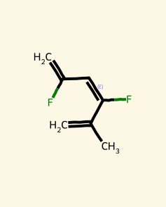 C=C(F)/C=C(/F)C(=C)C